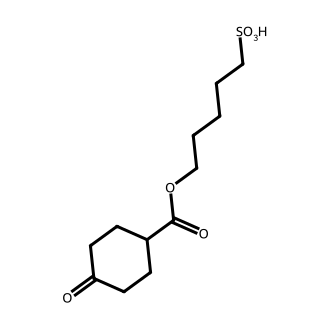 O=C1CCC(C(=O)OCCCCCS(=O)(=O)O)CC1